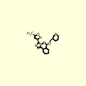 Cc1cc(-c2nnc3c4ccccc4c(OCc4cccnc4)nn23)no1